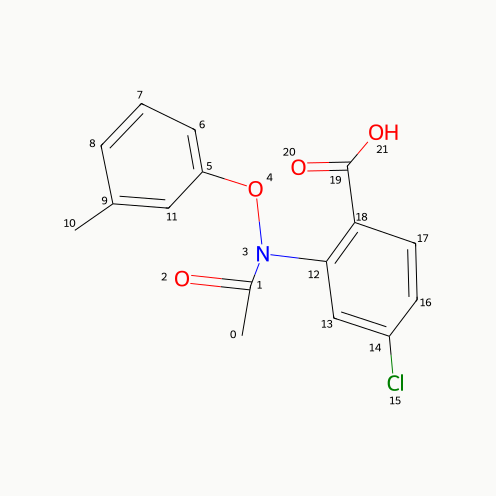 CC(=O)N(Oc1cccc(C)c1)c1cc(Cl)ccc1C(=O)O